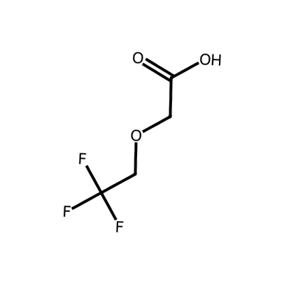 O=C(O)COCC(F)(F)F